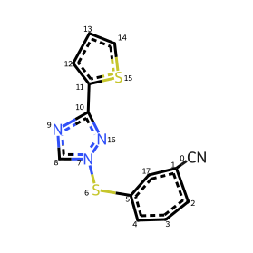 N#Cc1cccc(Sn2cnc(-c3cccs3)n2)c1